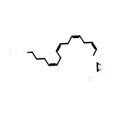 CC[C@H]1O[C@H]1C/C=C\C/C=C\C/C=C\C/C=C\CCCC(=O)O